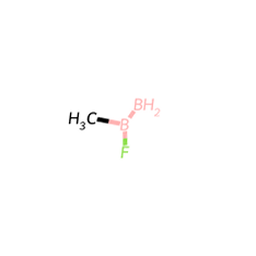 BB(C)F